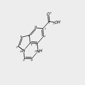 O=C(O)c1cc2c3c(ccn3C=CN2)c1